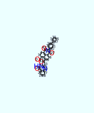 O=Cc1ccc2c3c(ccc(C(=O)Cc4nc5ccccc5c(=O)[nH]4)c13)C(=O)N(c1ccc(C3=CC=CC3)cc1)C2=O